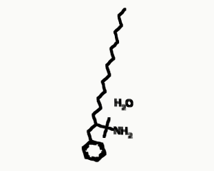 CCCCCCCCCCCCCCC(Cc1ccccc1)C(C)(C)N.O